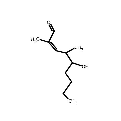 CCCCC(O)C(C)C=C(C)C=O